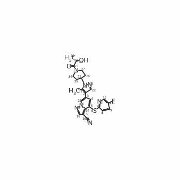 Cc1c(-c2cc(Sc3ccc(F)cn3)c3c(C#N)cnn3c2)cnn1C1CCN(C(=O)[C@H](C)O)CC1